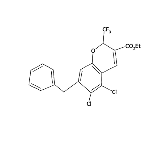 CCOC(=O)C1=Cc2c(cc(Cc3ccccc3)c(Cl)c2Cl)OC1C(F)(F)F